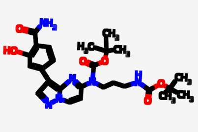 CC(C)(C)OC(=O)NCCCN(C(=O)OC(C)(C)C)c1ccn2ncc(-c3ccc(C(N)=O)c(O)c3)c2n1